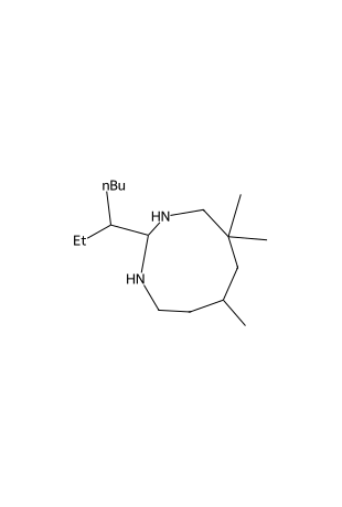 CCCCC(CC)C1NCCC(C)CC(C)(C)CN1